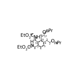 CCCOCCc1ccc(CNC(=O)OCC)c(CNC(=O)OCC)c1CCOCCC